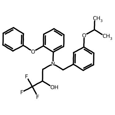 CC(C)Oc1cccc(CN(CC(O)C(F)(F)F)c2ccccc2Oc2ccccc2)c1